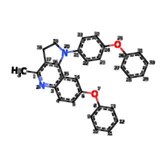 Cc1nc2ccc(Oc3ccccc3)cc2c2c1CCN2c1ccc(Oc2ccccc2)cc1